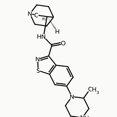 CC1CNCCN1c1ccc2c(C(=O)N[C@H]3CN4CCC3CC4)nsc2c1